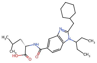 CCC(CC)n1c(CC2CCCCC2)nc2cc(C(=O)N[C@@H](CC(C)C)C(=O)O)ccc21